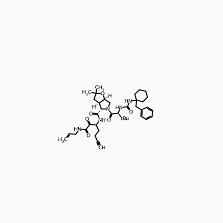 C#CCCC(NC(=O)[C@@H]1[C@H]2CC(C)(C)O[C@H]2CN1C(=O)[C@@H](NC(=O)NC1(Cc2ccccc2)CCCCC1)C(C)(C)C)C(=O)C(=O)NCC=C